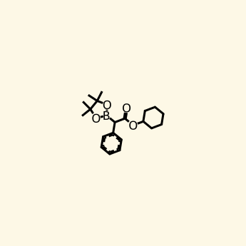 CC1(C)OB(C(C(=O)OC2CCCCC2)c2ccccc2)OC1(C)C